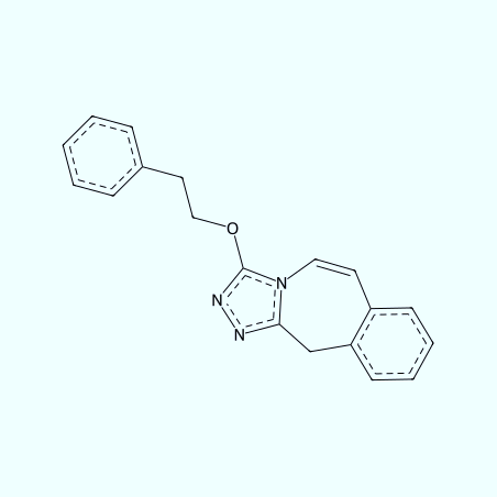 C1=Cn2c(nnc2OCCc2ccccc2)Cc2ccccc21